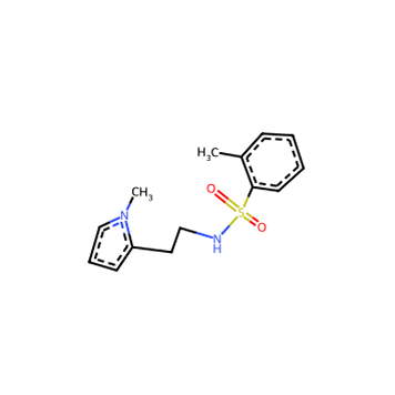 Cc1ccccc1S(=O)(=O)NCCc1cccn1C